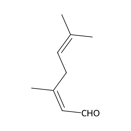 CC(C)=CCC(C)=CC=O